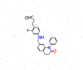 O=CCCc1ccc(NCc2ccc3c(c2)N(c2ccccc2)C(=O)CC3)cc1F